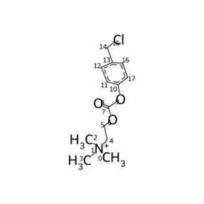 C[N+](C)(C)CCOC(=O)Oc1ccc(CCl)cc1